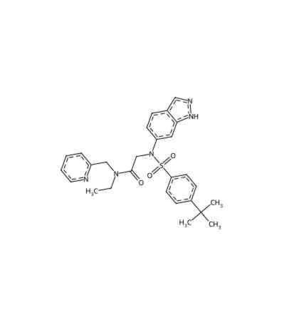 CCN(Cc1ccccn1)C(=O)CN(c1ccc2cn[nH]c2c1)S(=O)(=O)c1ccc(C(C)(C)C)cc1